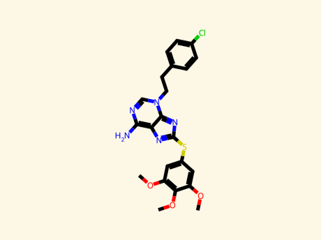 COc1cc(Sc2nc3c(N)ncn(CCc4ccc(Cl)cc4)c-3n2)cc(OC)c1OC